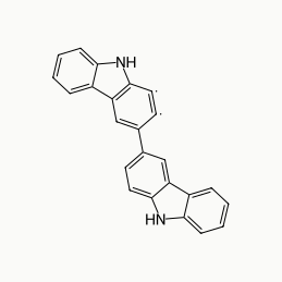 [c]1[c]c2[nH]c3ccccc3c2cc1-c1ccc2[nH]c3ccccc3c2c1